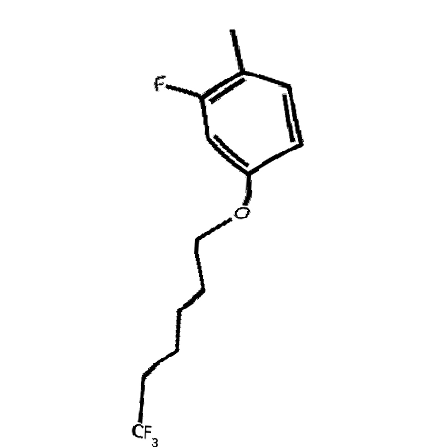 Cc1ccc(OCCCCCC(F)(F)F)cc1F